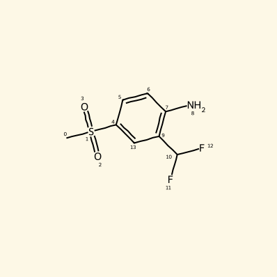 CS(=O)(=O)c1ccc(N)c(C(F)F)c1